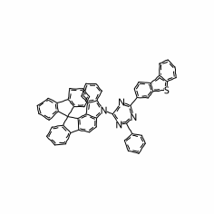 c1ccc(-c2nc(-c3ccc4c(c3)sc3ccccc34)nc(-n3c4ccccc4c4c5c(ccc43)-c3ccccc3C53c4ccccc4-c4ccccc43)n2)cc1